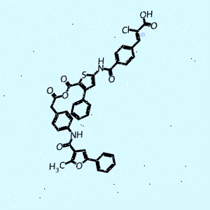 Cc1oc(-c2ccccc2)cc1C(=O)Nc1ccc(CC(=O)OC(=O)c2sc(NC(=O)c3ccc(/C=C(\Cl)C(=O)O)cc3)cc2-c2ccccc2)cc1